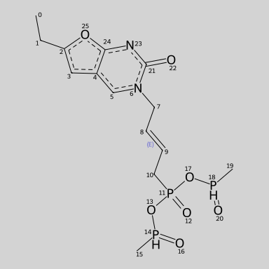 CCc1cc2cn(C/C=C/CP(=O)(O[PH](C)=O)O[PH](C)=O)c(=O)nc2o1